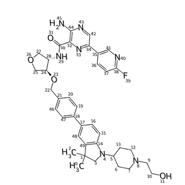 CC1(C)CN(C2CCN(CCO)CC2)c2ccc(-c3ccc(CO[C@H]4COC[C@@H]4NC(=O)c4nc(-c5ccc(F)nc5)cnc4N)cc3)cc21